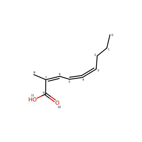 CCCC=C=CC=C(C)C(=O)O